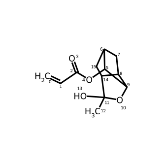 C=CC(=O)OC1C2CC3C1OC(C)(O)C3C2